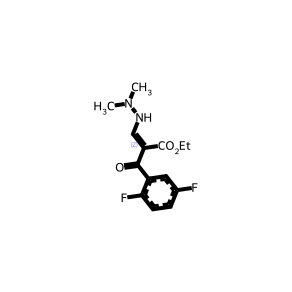 CCOC(=O)/C(=C\NN(C)C)C(=O)c1cc(F)ccc1F